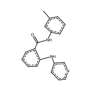 Cc1cccc(NC(=O)c2ccccc2Nc2cccnc2)c1